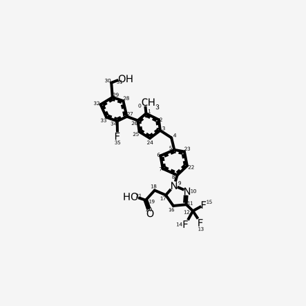 Cc1cc(Cc2ccc(N3N=C(C(F)(F)F)CC3CC(=O)O)cc2)ccc1-c1cc(CO)ccc1F